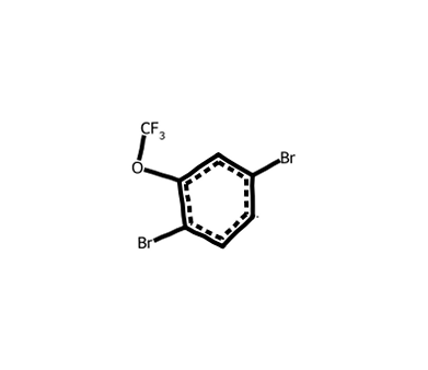 FC(F)(F)Oc1cc(Br)[c]cc1Br